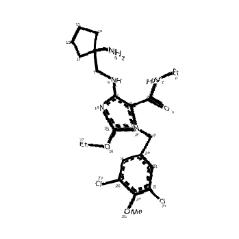 CCNC(=O)c1c(NCC2(N)CCCC2)nc(OCC)n1Cc1cc(Cl)c(OC)c(Cl)c1